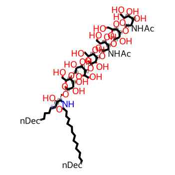 CCCCCCCCCCCCC/C=C/[C@@H](O)[C@H](CO[C@@H]1OC(CO)[C@@H](O[C@@H]2OC(CO)[C@H](O[C@@H]3OC(CO)[C@H](O)[C@H](O[C@@H]4OC(CO)[C@H](O)[C@H](O[C@@H]5OC(CO)[C@H](O)[C@H](O[C@H]6OC(CO)[C@H](O)[C@H](O)C6NC(C)=O)C5O)C4NC(C)=O)C3O)[C@H](O)C2O)[C@H](O)C1O)NC(=O)CCCCCCCCCCCCCCCCCCCCCCC